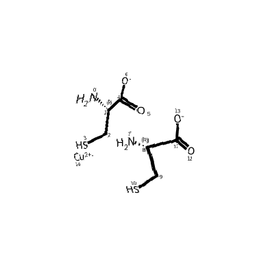 N[C@@H](CS)C(=O)[O-].N[C@@H](CS)C(=O)[O-].[Cu+2]